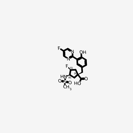 CS(=O)(=O)N[C@@H]1C[C@@](Cc2ccc(O)c(-c3ncc(F)cn3)c2)(C(=O)O)C[C@@H]1F